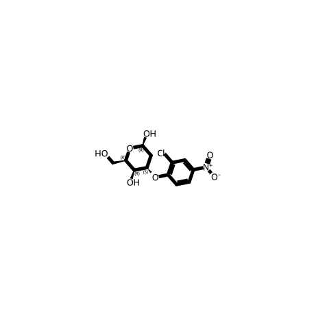 O=[N+]([O-])c1ccc(O[C@H]2C[C@H](O)O[C@H](CO)[C@@H]2O)c(Cl)c1